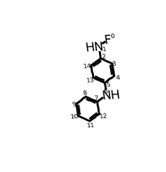 FNc1ccc(Nc2ccccc2)cc1